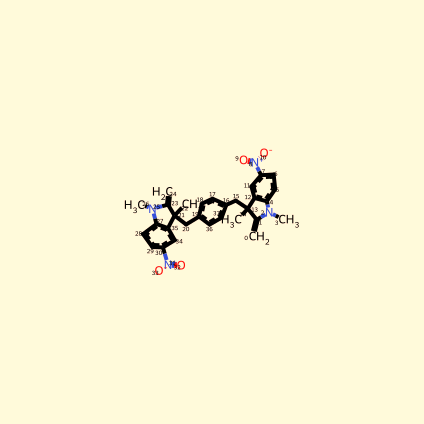 C=C1N(C)c2ccc([N+](=O)[O-])cc2C1(C)Cc1ccc(CC2(C)C(=C)N(C)c3ccc([N+](=O)[O-])cc32)cc1